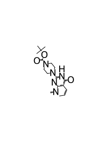 C=Nc1nc(N2CCN(C(=O)OC(C)(C)C)CC2)[nH]c(=O)c1/C=C\C